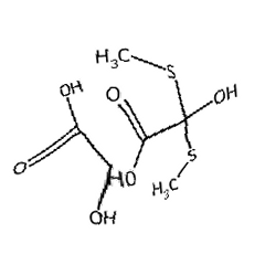 CSC(O)(SC)C(=O)O.O=C(O)CO